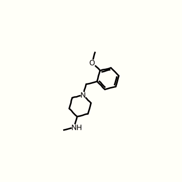 CNC1CCN(Cc2ccccc2OC)CC1